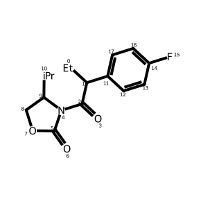 CCC(C(=O)N1C(=O)OCC1C(C)C)c1ccc(F)cc1